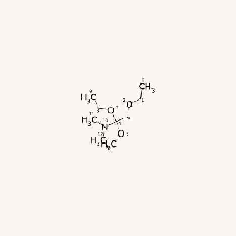 CCOCC(OC)(OCC)N(C)C